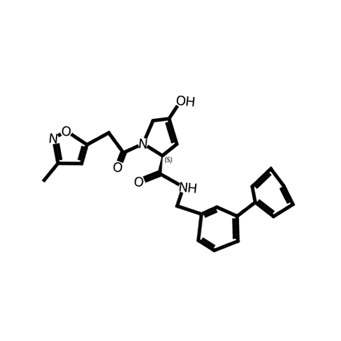 Cc1cc(CC(=O)N2CC(O)=C[C@H]2C(=O)NCc2cccc(-c3ccccc3)c2)on1